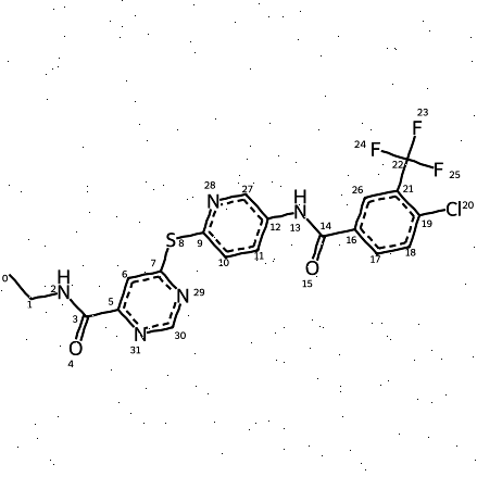 CCNC(=O)c1cc(Sc2ccc(NC(=O)c3ccc(Cl)c(C(F)(F)F)c3)cn2)ncn1